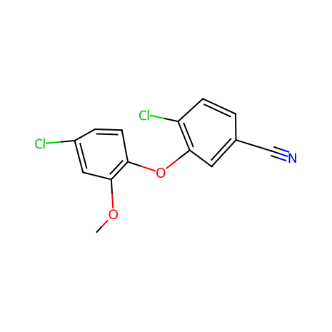 COc1cc(Cl)ccc1Oc1cc(C#N)ccc1Cl